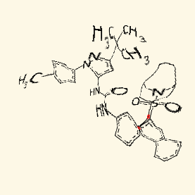 Cc1ccc(-n2nc(C(C)(C)C)cc2NC(=O)Nc2cccc(CC3CC4CCC(C3)N4S(=O)(=O)c3ccc4ccccc4c3)c2)cc1